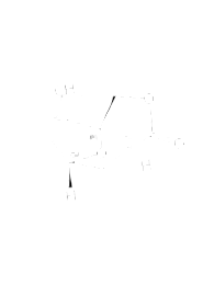 C[C@H]1C[C@H]2C[C@@H]3C(=O)OC[C@]31O2